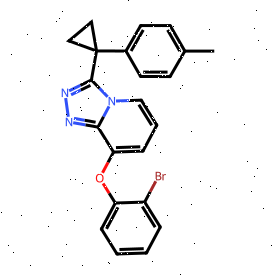 Cc1ccc(C2(c3nnc4c(Oc5ccccc5Br)cccn34)CC2)cc1